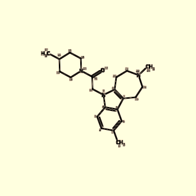 Cc1ccc2c(c1)c1c(n2CC(=O)N2CCC(C)CC2)CCN(C)CC1